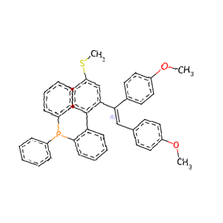 COc1ccc(/C=C(\c2ccc(OC)cc2)c2cc(SC)ccc2-c2ccccc2P(c2ccccc2)c2ccccc2)cc1